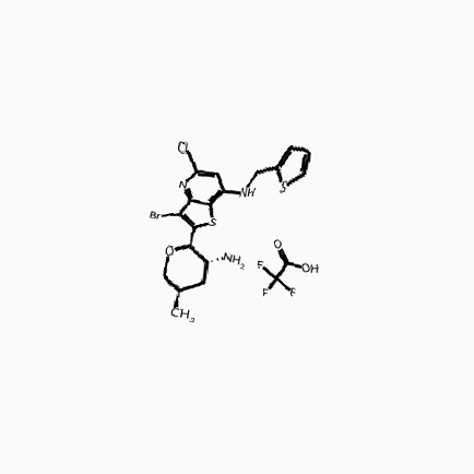 C[C@H]1CO[C@@H](c2sc3c(NCc4cccs4)cc(Cl)nc3c2Br)[C@H](N)C1.O=C(O)C(F)(F)F